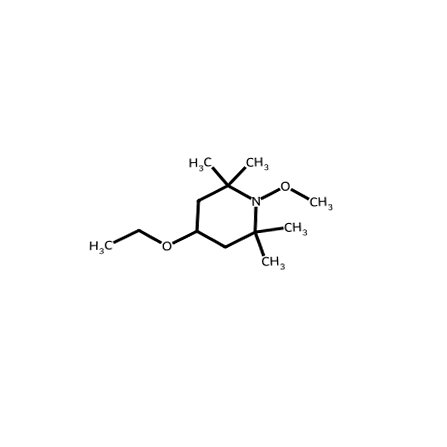 CCOC1CC(C)(C)N(OC)C(C)(C)C1